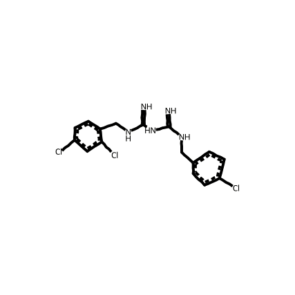 N=C(NCc1ccc(Cl)cc1)NC(=N)NCc1ccc(Cl)cc1Cl